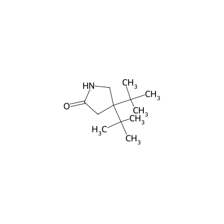 CC(C)(C)C1(C(C)(C)C)CNC(=O)C1